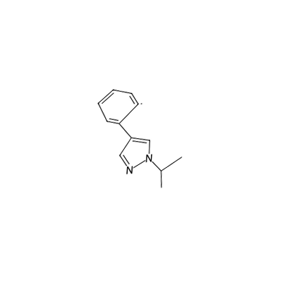 CC(C)n1cc(-c2[c]cccc2)cn1